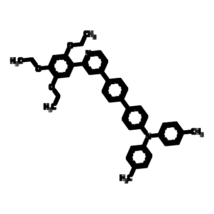 CCOc1cc(OCC)c(-c2cc(-c3ccc(-c4ccc(N(c5ccc(C)cc5)c5ccc(C)cc5)cc4)cc3)ccn2)cc1OCC